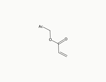 C=CC(=O)OCC(C)=O